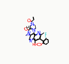 C=CC(=O)N1CCN2c3c(cnc4c(C)c(-c5c(O)cccc5F)c(C)nc34)N(C)C(=O)[C@H]2C1